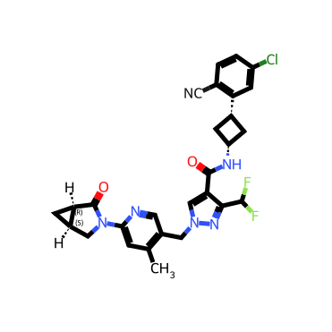 Cc1cc(N2C[C@H]3C[C@H]3C2=O)ncc1Cn1cc(C(=O)N[C@H]2C[C@@H](c3cc(Cl)ccc3C#N)C2)c(C(F)F)n1